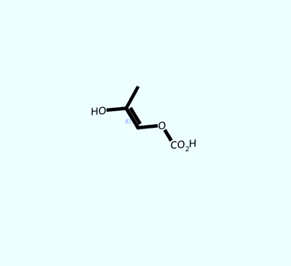 C/C(O)=C\OC(=O)O